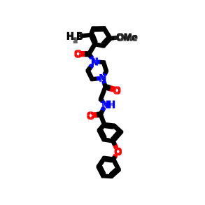 Bc1ccc(OC)cc1C(=O)N1CCN(C(=O)CNC(=O)c2ccc(Oc3ccccc3)cc2)CC1